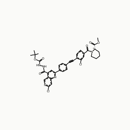 COC(=O)[C@@H]1CCCCN1C(=O)c1ccc(C#Cc2ccc(-c3cc(C(=O)NNC(=O)OC(C)(C)C)c4cnc(Cl)cc4n3)cc2)c(Cl)c1